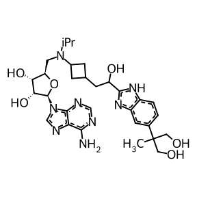 CC(C)N(C[C@H]1O[C@@H](n2cnc3c(N)ncnc32)[C@H](O)[C@@H]1O)C1CC(CC(O)c2nc3cc(C(C)(CO)CO)ccc3[nH]2)C1